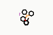 [I-].c1ccc(C[P+](C2CCCCC2)(C2CCCCC2)C2CCCCC2)cc1